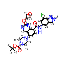 C[C@@H]1CN(c2ccc(C(=O)Nc3cc(F)c4nn(C)cc4c3)c3nc(OC4COC4)ncc23)C[C@H](C)N1C(=O)OC(C)(C)C